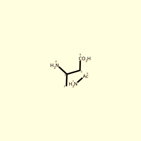 CC(N)=O.CC(N)CC(=O)O